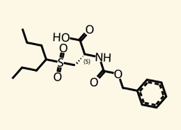 CCCC(CCC)S(=O)(=O)C[C@@H](NC(=O)OCc1ccccc1)C(=O)O